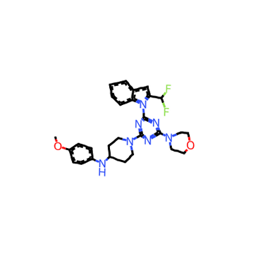 COc1ccc(NC2CCN(c3nc(N4CCOCC4)nc(-n4c(C(F)F)cc5ccccc54)n3)CC2)cc1